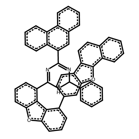 c1ccc(C2N=C(c3cc4ccccc4c4ccccc34)N=C(c3cccc4oc5cccc(-c6ccc7c(c6)oc6c8ccccc8ccc76)c5c34)N2)cc1